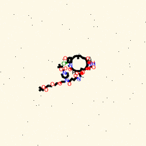 COc1cc2cc(c1Cl)N(C)C(=O)C[C@H](OC(=O)[C@H](C)N(C)C(=O)CCC(=O)N(CCOCCOCCC(=O)OC(C)(C)C)C1CCN(C(=O)OC(C)(C)C)CC1)[C@@]1(C)C[C@](C)(O1)[C@@H]1C[C@@](O)(NC(=O)O1)[C@H](OC)/C=C/C=C(\C)C2